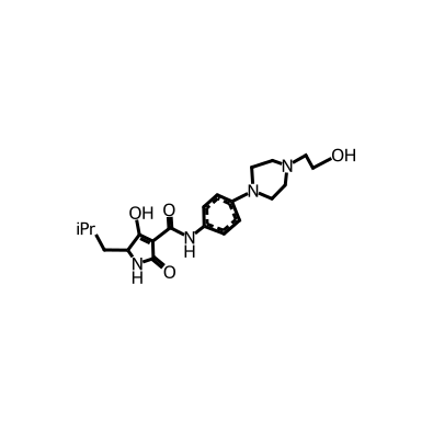 CC(C)CC1NC(=O)C(C(=O)Nc2ccc(N3CCN(CCO)CC3)cc2)=C1O